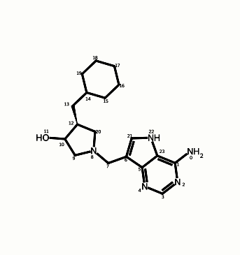 Nc1ncnc2c(CN3CC(O)[C@@H](CC4CCCCC4)C3)c[nH]c12